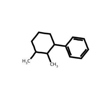 CC1CCCC(c2ccccc2)C1C